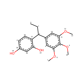 CCC(c1cc(OC)c(OC)c(OC)c1)c1ccc(O)cc1O